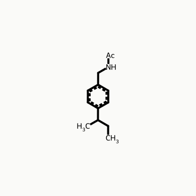 CCC(C)c1ccc(C[NH][Ac])cc1